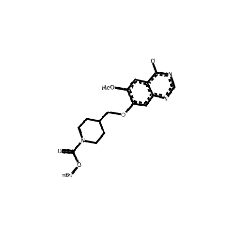 CCCCOC(=O)N1CCC(COc2cc3ncnc(Cl)c3cc2OC)CC1